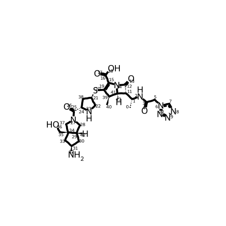 C[C@@H](NC(=O)Cn1cnnn1)[C@H]1C(=O)N2C(C(=O)O)=C(S[C@@H]3CN[C@H](C(=O)N4C[C@@H]5C[C@@H](N)C[C@]5(CO)C4)C3)[C@H](C)[C@H]12